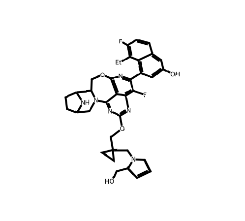 CCc1c(F)ccc2cc(O)cc(-c3nc4c5c(nc(OCC6(CN7CC=CC7CO)CC6)nc5c3F)N3CC5CCC(N5)C3CO4)c12